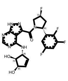 O=C(c1n[nH]c2ncnc(N[C@@H]3C=C[C@@H](O)[C@H]3O)c12)N1C[C@@H](F)C[C@@H]1c1cc(F)cc(F)c1F